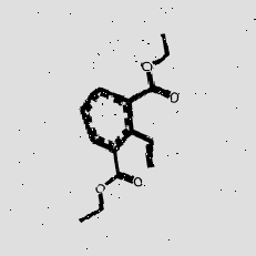 C=Cc1c(C(=O)OCC)cccc1C(=O)OCC